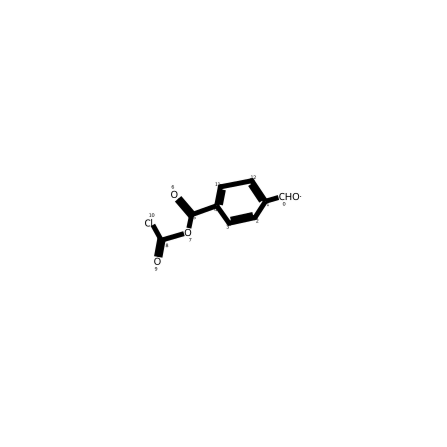 O=[C]c1ccc(C(=O)OC(=O)Cl)cc1